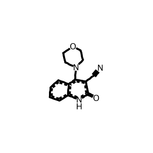 N#Cc1c(N2CCOCC2)c2ccccc2[nH]c1=O